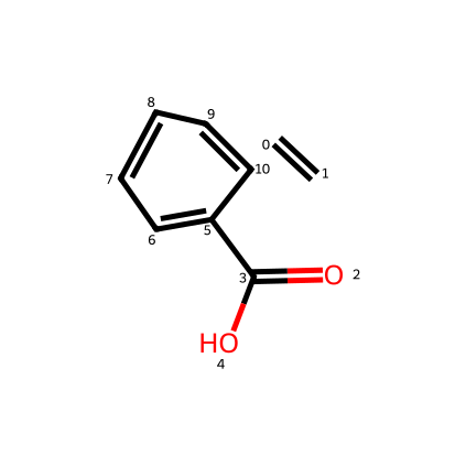 C=C.O=C(O)c1ccccc1